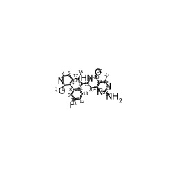 COc1ncccc1-c1cc(F)ccc1C(C(C)C)C1Cc2nc(N)nc(C)c2C(=O)N1